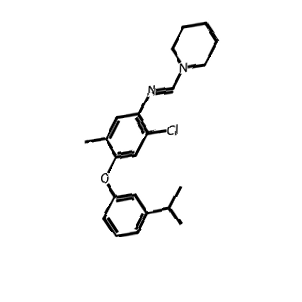 Cc1cc(N=CN2CCCCC2)c(Cl)cc1Oc1cccc(C(C)C)c1